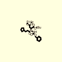 CCOC(CC(C(=O)OC(C)(C)C)N(NC(=O)OCc1ccccc1)C(=O)CCC1CCCC1)OCC